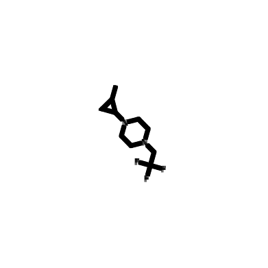 CC1CC1N1CCN(CC(F)(F)F)CC1